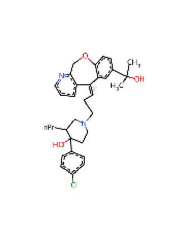 CCCC1CN(CC/C=C2/c3cc(C(C)(C)O)ccc3OCc3ncccc32)CCC1(O)c1ccc(Cl)cc1